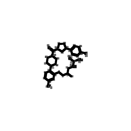 CC(CCc1cc(C(F)(F)F)ccc1N1CCN(C(=O)N2CCC(c3ccc(Cl)cc3)C2)CC1)CN[S+]([O-])C(C)(C)C